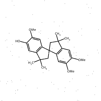 COc1cc2c(cc1O)C(C)(C)CC21CC(C)(C)c2cc(OC)c(OC)cc21